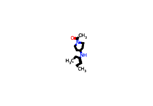 CC/C=C(\CC)NC1CCN(C(C)=O)CC1